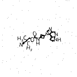 CC(C)(C#N)COC(=O)NC12CC(n3cnc4cnc5[nH]ccc5c43)(C1)C2